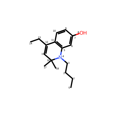 CCCCN1c2cc(O)ccc2C(CC)=CC1(C)C